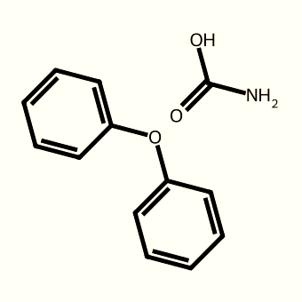 NC(=O)O.c1ccc(Oc2ccccc2)cc1